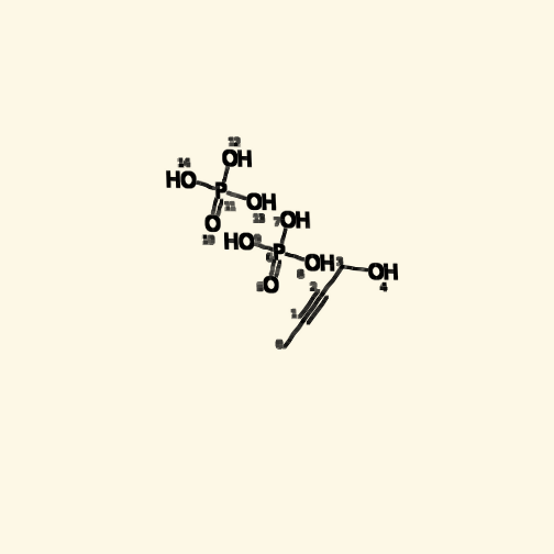 CC#CCO.O=P(O)(O)O.O=P(O)(O)O